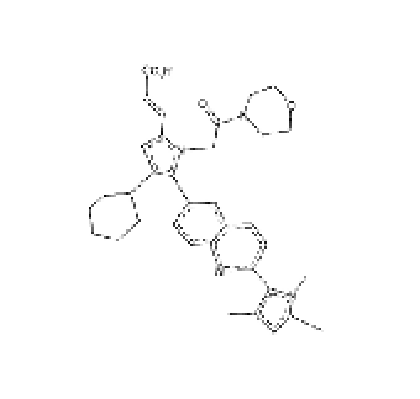 Cc1cc(C)n(C)c1-c1ccc2cc(-c3c(C4CCCCC4)cc(/C=C/C(=O)O)n3CC(=O)N3CCOCC3)ccc2n1